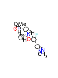 [2H]C(c1ccc(-c2ccc3c(cnn3C)c2)cc1F)N(C(=O)[C@@H]1C[C@@H]2CC[C@H]1C2)c1cccc(/C=C/C(=O)OC)c1